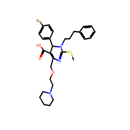 CSC1=NC(COCCN2CCCCC2)=C(C(=O)O)C(c2ccc(Br)cc2)N1CCCc1ccccc1